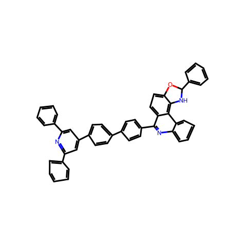 c1ccc(-c2cc(-c3ccc(-c4ccc(-c5nc6ccccc6c6c7c(ccc56)OC(c5ccccc5)N7)cc4)cc3)cc(-c3ccccc3)n2)cc1